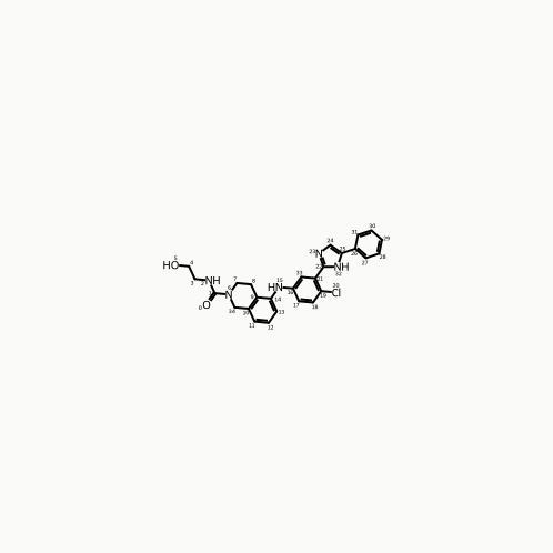 O=C(NCCO)N1CCc2c(cccc2Nc2ccc(Cl)c(-c3ncc(-c4ccccc4)[nH]3)c2)C1